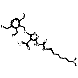 CN(C)CCCCCCNC(=O)Nc1snc(OCc2c(CF)ccc(CF)c2CF)c1C(N)=O